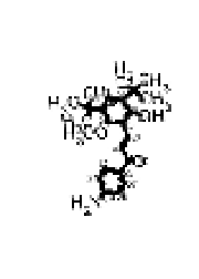 COc1c(C(C)(C)C)cc(C(C)(C)C)c(O)c1/C=C/C(=O)c1ccc(N)cc1